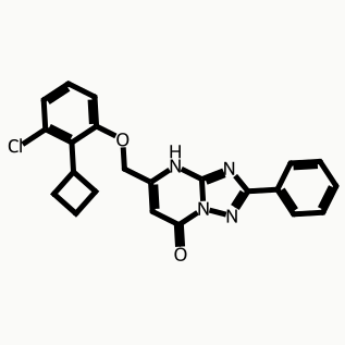 O=c1cc(COc2cccc(Cl)c2C2CCC2)[nH]c2nc(-c3ccccc3)nn12